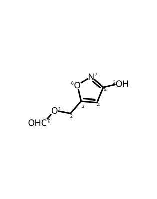 O=COCc1cc(O)no1